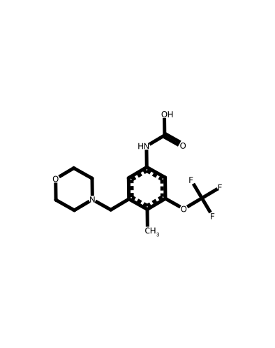 Cc1c(CN2CCOCC2)cc(NC(=O)O)cc1OC(F)(F)F